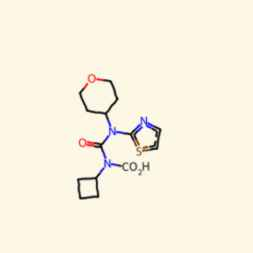 O=C(O)N(C(=O)N(c1nccs1)C1CCOCC1)C1CCC1